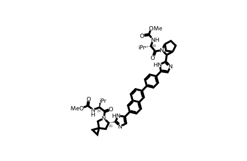 COC(=O)N[C@H](C(=O)N1C2CCC(C2)C1c1ncc(-c2ccc(-c3ccc4cc(-c5cnc([C@@H]6CC7(CC7)CN6C(=O)[C@@H](NC(=O)OC)C(C)C)[nH]5)ccc4c3)cc2)[nH]1)C(C)C